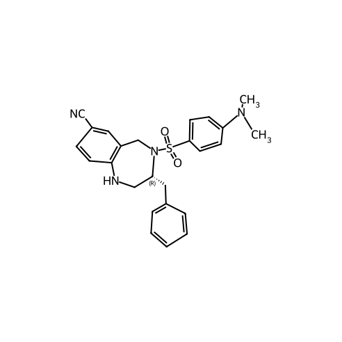 CN(C)c1ccc(S(=O)(=O)N2Cc3cc(C#N)ccc3NC[C@H]2Cc2ccccc2)cc1